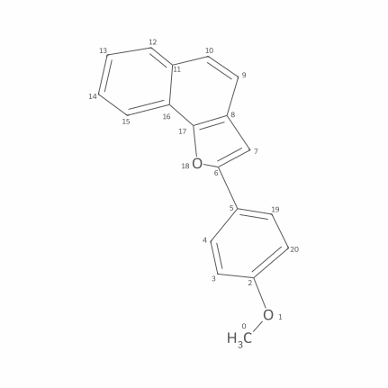 COc1ccc(-c2cc3ccc4ccccc4c3o2)cc1